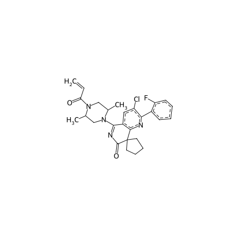 C=CC(=O)N1CC(C)N(C2=NC(=O)C3(CCCC3)c3nc(-c4ccccc4F)c(Cl)cc32)CC1C